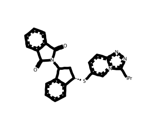 CC(C)c1nnc2ccc(S[C@H]3CC(N4C(=O)c5ccccc5C4=O)c4ccccc43)cn12